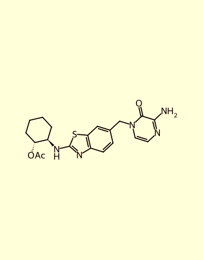 CC(=O)O[C@@H]1CCCC[C@H]1Nc1nc2ccc(Cn3ccnc(N)c3=O)cc2s1